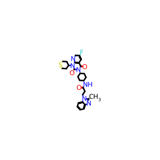 Cc1nc2ccccc2n1CCC(=O)N[C@H]1CC[C@@H](n2c(=O)c3cc(F)cnc3n(C3CCSCC3)c2=O)CC1